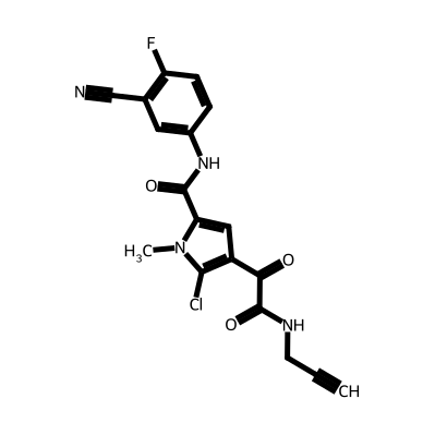 C#CCNC(=O)C(=O)c1cc(C(=O)Nc2ccc(F)c(C#N)c2)n(C)c1Cl